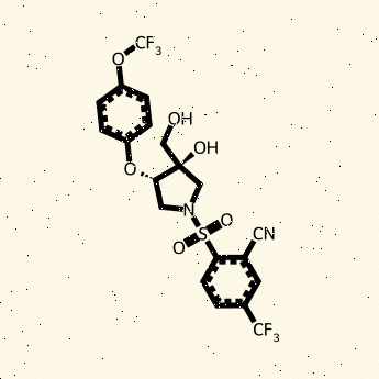 N#Cc1cc(C(F)(F)F)ccc1S(=O)(=O)N1C[C@H](Oc2ccc(OC(F)(F)F)cc2)[C@](O)(CO)C1